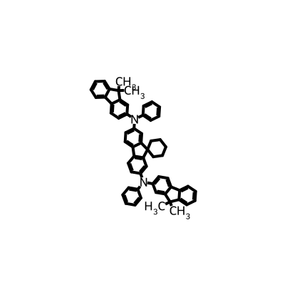 CC1(C)c2ccccc2-c2ccc(N(c3ccccc3)c3ccc4c(c3)C3(CCCCC3)c3cc(N(c5ccccc5)c5ccc6c(c5)C(C)(C)c5ccccc5-6)ccc3-4)cc21